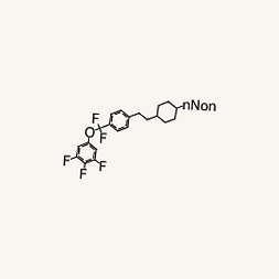 CCCCCCCCCC1CCC(CCc2ccc(C(F)(F)Oc3cc(F)c(F)c(F)c3)cc2)CC1